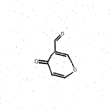 O=Cc1coccc1=O